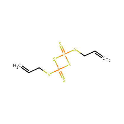 C=CCSP1(=S)SP(=S)(SCC=C)S1